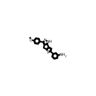 COc1ccc(-c2n[nH]c3c2Cc2sc(-c4cccc(N)c4)cc2-3)cc1